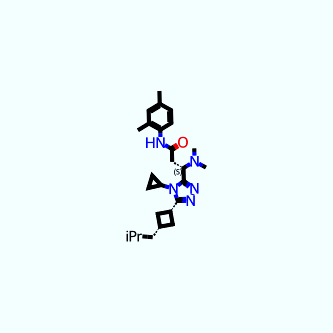 Cc1ccc(NC(=O)C[C@@H](c2nnc([C@H]3C[C@@H](CC(C)C)C3)n2C2CC2)N(C)C)c(C)c1